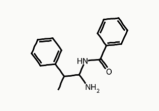 CC(c1ccccc1)C(N)NC(=O)c1ccccc1